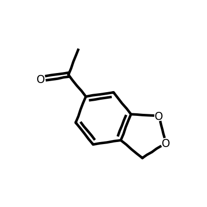 CC(=O)c1ccc2c(c1)OOC2